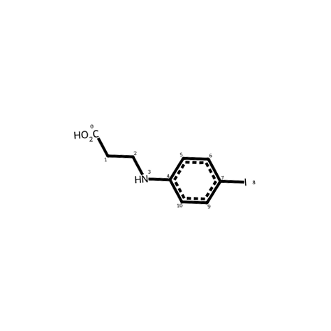 O=C(O)CCNc1ccc(I)cc1